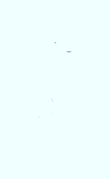 O=S(=O)(Oc1ccc2cc(-c3ccc4ccc5cccc6ccc3c4c56)ccc2c1)C(F)(F)F